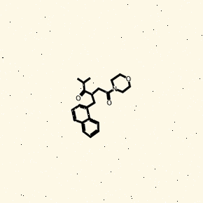 CC(C)C(=O)C(CC(=O)N1CCOCC1)Cc1cccc2ccccc12